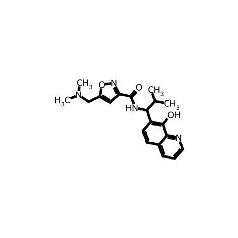 CC(C)C(NC(=O)c1cc(CN(C)C)on1)c1ccc2cccnc2c1O